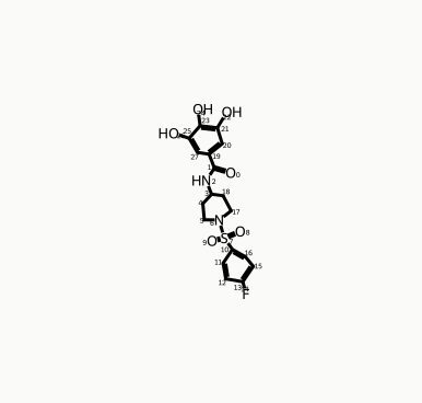 O=C(NC1CCN(S(=O)(=O)c2ccc(F)cc2)CC1)c1cc(O)c(O)c(O)c1